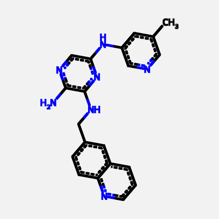 Cc1cncc(Nc2cnc(N)c(NCc3ccc4ncccc4c3)n2)c1